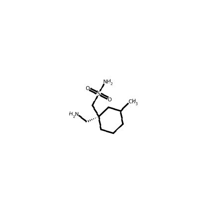 CC1CCC[C@@](CN)(CS(N)(=O)=O)C1